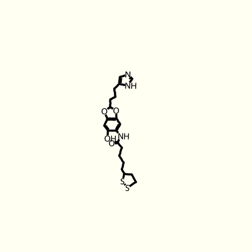 O=C(CCCCC1CCSS1)Nc1cc2c(cc1O)OC(CCCc1cnc[nH]1)O2